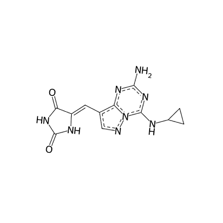 Nc1nc(NC2CC2)n2ncc(/C=C3\NC(=O)NC3=O)c2n1